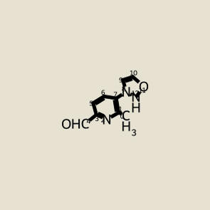 Cc1nc(C=O)ccc1N1C=CON1